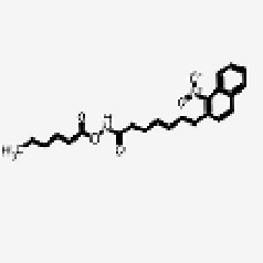 CCCCCC(=O)ONC(=O)CCCCCCc1ccc2ccccc2c1[N+](=O)[O-]